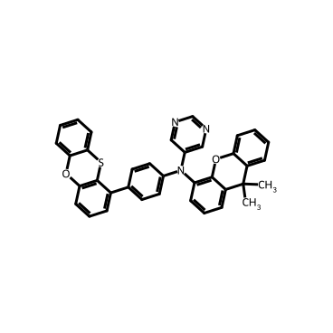 CC1(C)c2ccccc2Oc2c(N(c3ccc(-c4cccc5c4Sc4ccccc4O5)cc3)c3cncnc3)cccc21